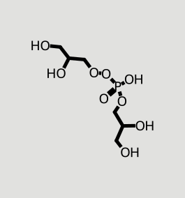 O=P(O)(OCC(O)CO)OOCC(O)CO